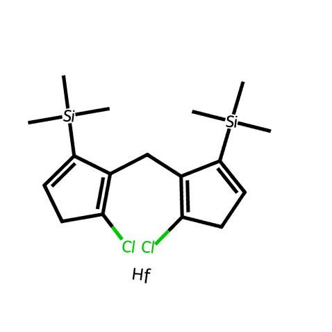 C[Si](C)(C)C1=CCC(Cl)=C1CC1=C(Cl)CC=C1[Si](C)(C)C.[Hf]